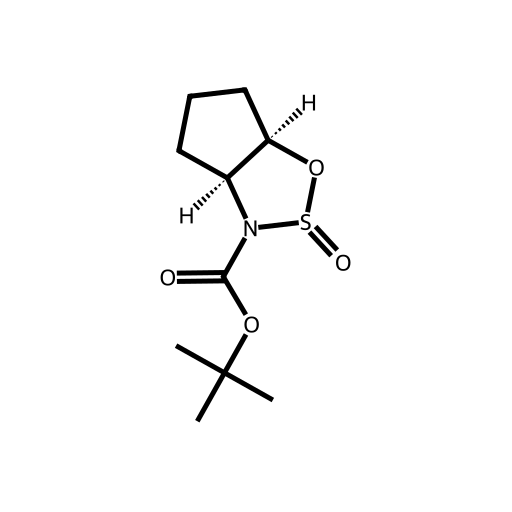 CC(C)(C)OC(=O)N1[C@H]2CCC[C@H]2OS1=O